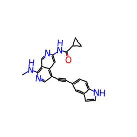 CNc1ncc(C#Cc2ccc3[nH]ccc3c2)c2cc(NC(=O)C3CC3)ncc12